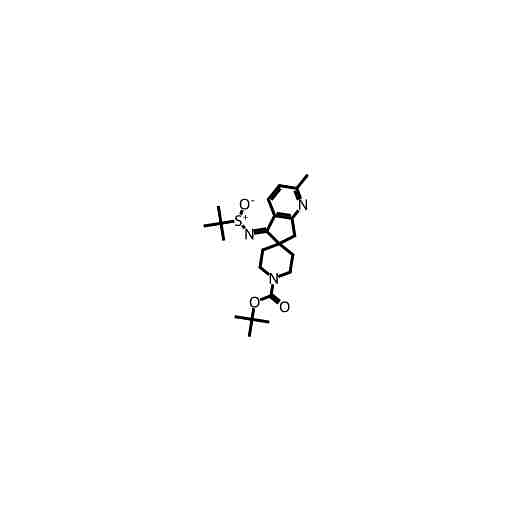 Cc1ccc2c(n1)CC1(CCN(C(=O)OC(C)(C)C)CC1)C2=N[S+]([O-])C(C)(C)C